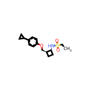 CCS(=O)(=O)N[C@@H]1CC[C@H]1COc1ccc(C2CC2)cc1